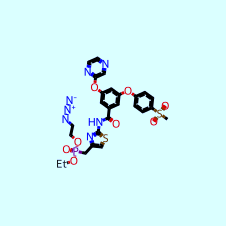 CCOP(=O)(Cc1csc(NC(=O)c2cc(Oc3ccc(S(C)(=O)=O)cc3)cc(Oc3cnccn3)c2)n1)OCCN=[N+]=[N-]